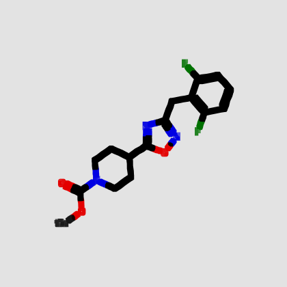 CC(C)(C)OC(=O)N1CCC(c2nc(Cc3c(F)cccc3F)no2)CC1